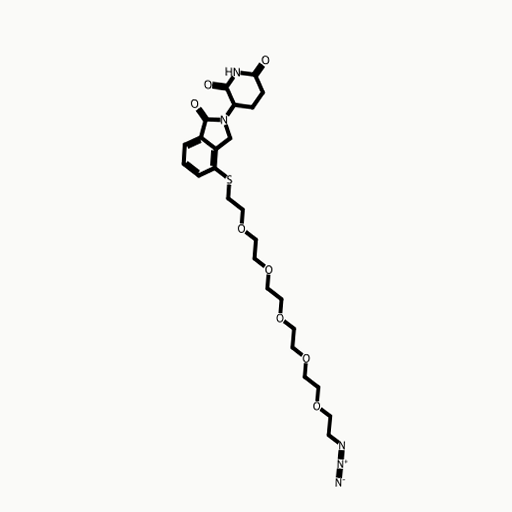 [N-]=[N+]=NCCOCCOCCOCCOCCOCCSc1cccc2c1CN(C1CCC(=O)NC1=O)C2=O